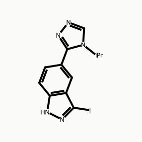 CC(C)n1cnnc1-c1ccc2[nH]nc(I)c2c1